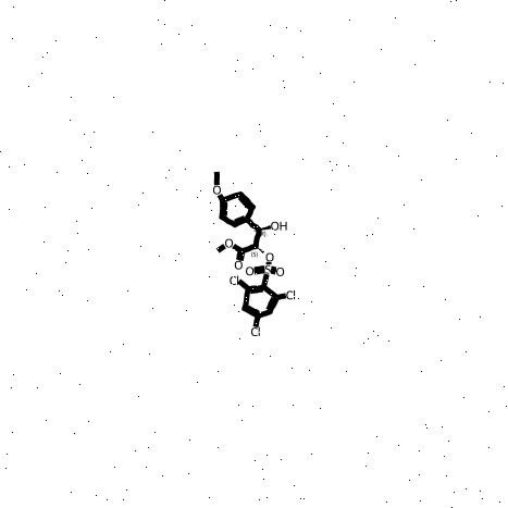 COC(=O)[C@@H](OS(=O)(=O)c1c(Cl)cc(Cl)cc1Cl)[C@H](O)c1ccc(OC)cc1